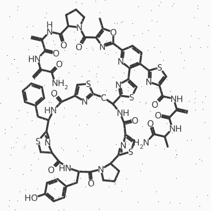 C=C(NC(=O)C(=C)NC(=O)C1CCCN1C(=O)c1nc(-c2ccc(-c3nc(C(=O)NC(=C)C(=O)NC(C)C(N)=O)cs3)c(-c3csc(C4Cc5nc(cs5)C(=O)NC(Cc5ccccc5)C5=NC(CS5)C(=O)NC(Cc5ccc(O)cc5)C(=O)N5CCCC5c5nc(cs5)C(=O)N4)n3)n2)oc1C)C(N)=O